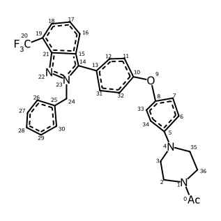 CC(=O)N1CCN(c2ccc(Oc3ccc(-c4c5cccc(C(F)(F)F)c5nn4Cc4ccccc4)cc3)cc2)CC1